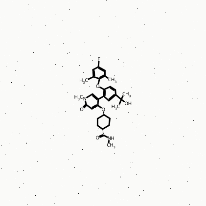 CNC(=O)[C@H]1CC[C@H](Oc2cc(=O)n(C)cc2-c2cc(C(C)(C)O)ccc2Oc2c(C)cc(F)cc2C)CC1